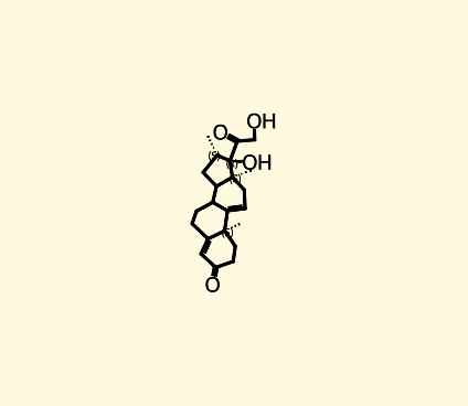 C[C@H]1CC2C3CCC4=CC(=O)CC[C@]4(C)C3=CC[C@]2(C)[C@@]1(O)C(=O)CO